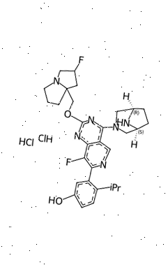 CC(C)c1ccc(O)cc1-c1ncc2c(N3C[C@H]4CC[C@@H](C3)N4)nc(OCC34CCCN3CC(F)C4)nc2c1F.Cl.Cl